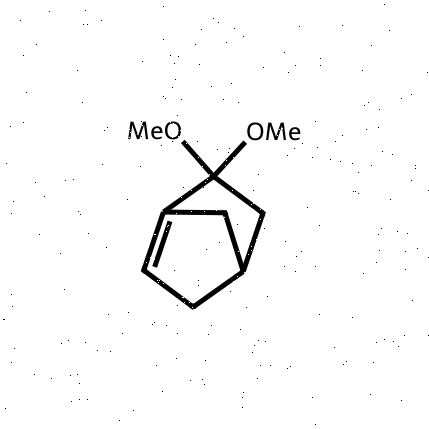 COC1(OC)CC2CC=C1C2